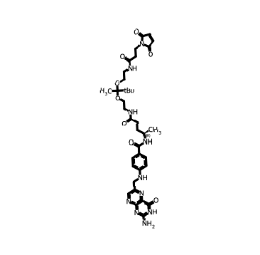 C[C@H](CCC(=O)NCCOC(C)(OCCNC(=O)CCN1C(=O)C=CC1=O)C(C)(C)C)NC(=O)c1ccc(NCc2cnc3nc(N)[nH]c(=O)c3n2)cc1